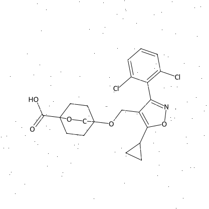 O=C(O)C12CCC(OCc3c(-c4c(Cl)cccc4Cl)noc3C3CC3)(CC1)CO2